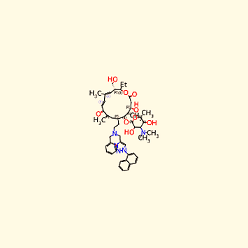 CC[C@H]1OC(=O)C[C@@H](O)[C@H](C)[C@@H](O[C@@H]2O[C@H](C)[C@@H](O)C(N(C)C)C2O)[C@@H](CCN(Cc2ccccc2)Cc2cn(-c3cccc4ccccc34)nn2)C[C@@H](C)C(=O)/C=C/C(C)=C/[C@@H]1CO